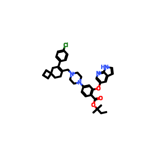 CCC(C)(C)OC(=O)c1ccc(N2CCN(CC3=C(c4ccc(Cl)cc4)CC4(CCC4)CC3)CC2)cc1Oc1cnc2[nH]ccc2c1